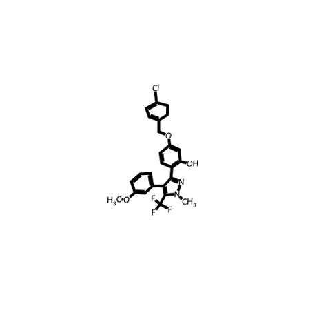 COc1cccc(-c2c(-c3ccc(OCC4=CC=C(Cl)CC4)cc3O)nn(C)c2C(F)(F)F)c1